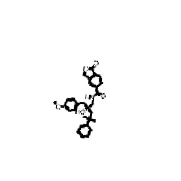 COc1ccc(CC(O)(CNC(=O)c2ccc3c(c2)COC3=O)CC(C)(C)c2ccccc2)cc1